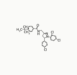 CC(C)(C)c1ccc(C(=O)NCC2=NN(c3ccc(Cl)cc3Cl)C(c3ccc(Cl)cc3)C2)cc1